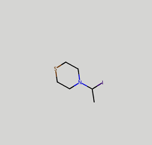 CC(I)N1CCSCC1